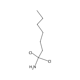 CCCCCCC(N)(Cl)Cl